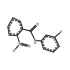 O=C(Nc1cccc(F)c1)c1ccccc1[N+](=O)[O-]